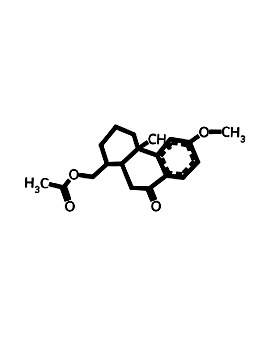 COc1ccc2c(c1)C1(C)CCCC(COC(C)=O)C1CC2=O